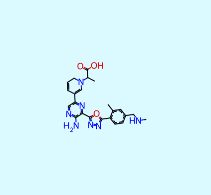 CNCc1ccc(-c2nnc(-c3nc(C4=CN(C(C)C(=O)O)CC=C4)cnc3N)o2)c(C)c1